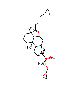 CC(C)C1=CC23CCC4C(C)(C(=O)COCC5CO5)CCCC4(C)C2CC1C(C(=O)OCC1CO1)C3